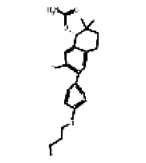 CCCCOc1ccc(-c2cc3c(cc2F)[C@H](OC(N)=O)C(C)(C)CC3)cc1